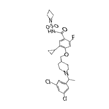 CC(c1cc(Cl)cc(Cl)c1)N1CCC(COc2cc(F)c(C(=O)NS(=O)(=O)N3CCC3)cc2C2CC2)CC1